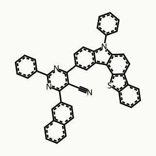 N#Cc1c(-c2ccc3ccccc3c2)nc(-c2ccccc2)nc1-c1ccc2c(c1)c1c3sc4ccccc4c3ccc1n2-c1ccccc1